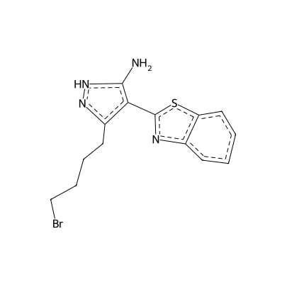 Nc1[nH]nc(CCCCBr)c1-c1nc2ccccc2s1